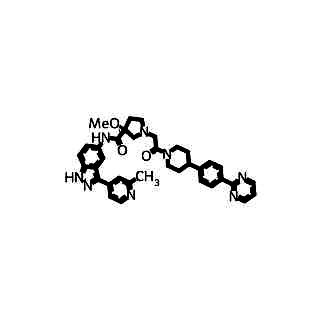 CO[C@@]1(C(=O)Nc2ccc3[nH]nc(-c4ccnc(C)c4)c3c2)CCN(CC(=O)N2CCC(c3ccc(-c4ncccn4)cc3)CC2)C1